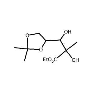 CCOC(=O)C(C)(O)C(O)C1COC(C)(C)O1